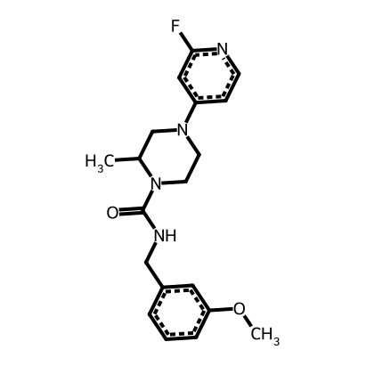 COc1cccc(CNC(=O)N2CCN(c3ccnc(F)c3)CC2C)c1